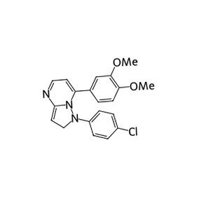 COc1ccc(C2=CC=NC3=CCN(c4ccc(Cl)cc4)N32)cc1OC